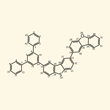 c1ccc(-c2cc(-c3ccccc3)cc(-c3ccc4sc5ccc(-c6ccc7oc8ccccc8c7c6)cc5c4c3)c2)cc1